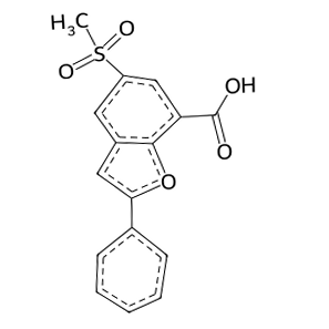 CS(=O)(=O)c1cc(C(=O)O)c2oc(-c3ccccc3)cc2c1